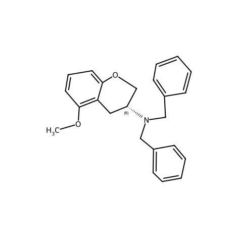 COc1cccc2c1C[C@@H](N(Cc1ccccc1)Cc1ccccc1)CO2